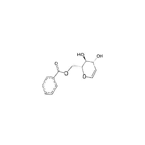 O=C(OC[C@H]1OC=C[C@@H](O)[C@@H]1O)c1ccccc1